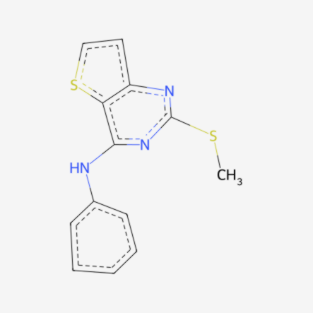 CSc1nc(Nc2ccccc2)c2sccc2n1